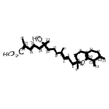 C/C(=C\CCC1(C)CCC2=C(O1)C(C)C(C)C=C2)CCCC(C)(O)CCCC(C)C(=O)O